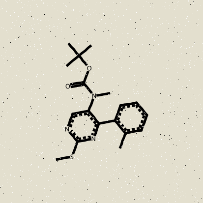 CSc1ncc(N(C)C(=O)OC(C)(C)C)c(-c2ccccc2C)n1